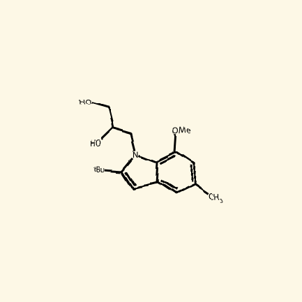 COc1cc(C)cc2cc(C(C)(C)C)n(CC(O)CO)c12